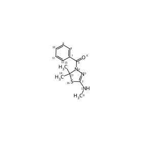 CNC1=NN(C(=O)c2ccccc2)C(C)(C)S1